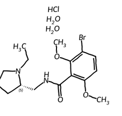 CCN1CCC[C@H]1CNC(=O)c1c(OC)ccc(Br)c1OC.Cl.O.O